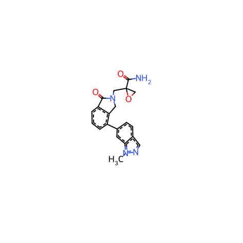 Cn1ncc2ccc(-c3cccc4c3CN(CC3(C(N)=O)CO3)C4=O)cc21